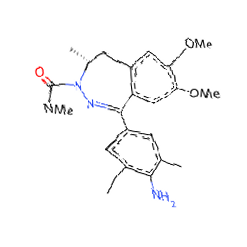 CNC(=O)N1N=C(c2cc(C)c(N)c(C)c2)c2cc(OC)c(OC)cc2C[C@H]1C